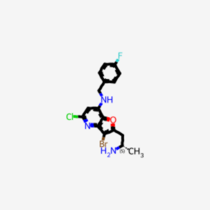 C[C@H](N)Cc1oc2c(NCc3ccc(F)cc3)cc(Cl)nc2c1Br